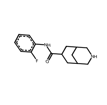 O=C(Nc1ccccc1F)C1CC2CNCC(C2)C1